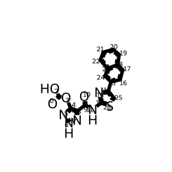 O=C(O)Oc1n[nH]nc1C(=O)Nc1nc(-c2ccc3ccccc3c2)cs1